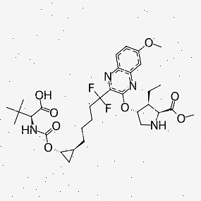 CC[C@@H]1[C@@H](Oc2nc3cc(OC)ccc3nc2C(F)(F)CCCC[C@H]2C[C@@H]2OC(=O)N[C@H](C(=O)O)C(C)(C)C)CN[C@@H]1C(=O)OC